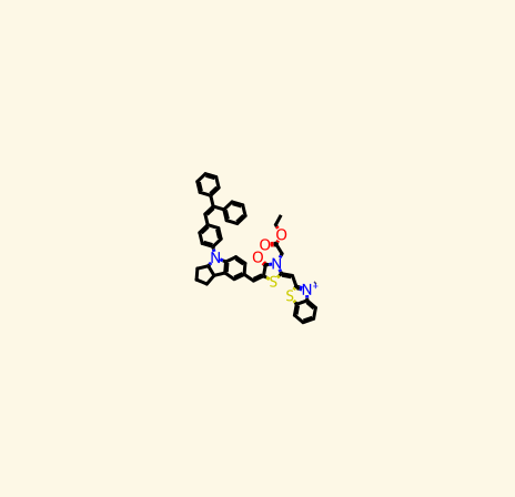 CCOC(=O)Cn1c(=O)/c(=C\c2ccc3c(c2)C2CCCC2N3c2ccc(C=C(c3ccccc3)c3ccccc3)cc2)s/c1=C\c1sc2ccccc2[n+]1C